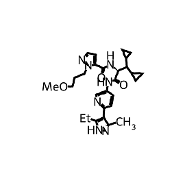 CCc1[nH]nc(C)c1-c1ccc(NC(=O)[C@@H](NC(=O)c2ccnn2CCCOC)C(C2CC2)C2CC2)cn1